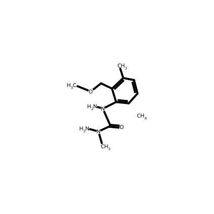 C.COCc1c(C)cccc1N(N)C(=O)N(C)N